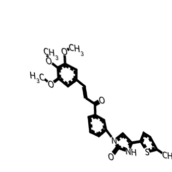 COc1cc(/C=C/C(=O)c2cccc(-n3cc(-c4ccc(C)s4)[nH]c3=O)c2)cc(OC)c1OC